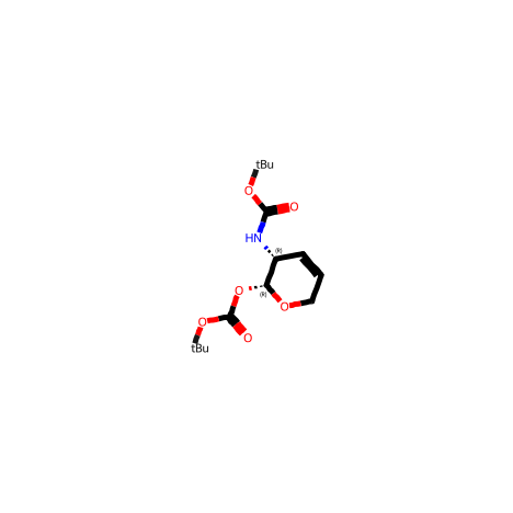 CC(C)(C)OC(=O)N[C@@H]1C=CCO[C@@H]1OC(=O)OC(C)(C)C